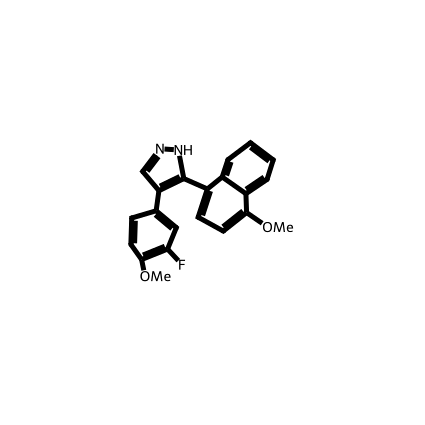 COc1ccc(-c2cn[nH]c2-c2ccc(OC)c3ccccc23)cc1F